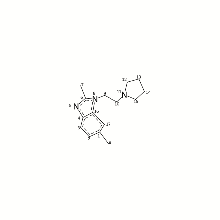 Cc1ccc2nc(C)n(CCN3CCCC3)c2c1